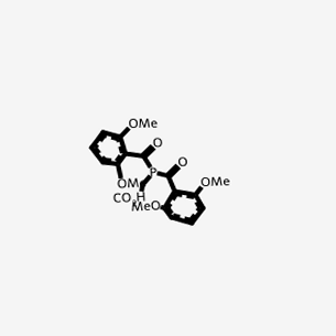 COc1cccc(OC)c1C(=O)P(CC(=O)O)C(=O)c1c(OC)cccc1OC